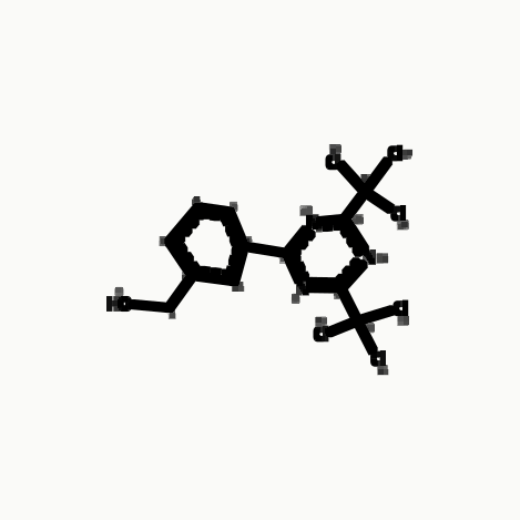 OCc1cccc(-c2nc(C(Cl)(Cl)Cl)nc(C(Cl)(Cl)Cl)n2)c1